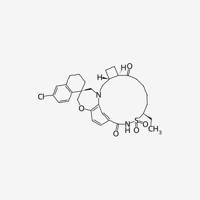 CC[C@@H]1CCCCC(=O)[C@@H]2CC[C@H]2CN2C[C@@]3(CCCc4cc(Cl)ccc43)COc3ccc(cc32)C(=O)NS1(=O)=O